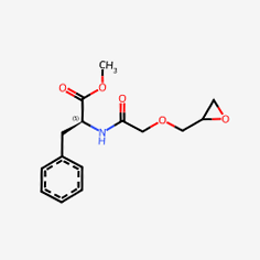 COC(=O)[C@H](Cc1ccccc1)NC(=O)COCC1CO1